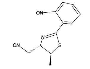 C[C@@H]1SC(c2ccccc2N=O)=N[C@H]1CN=O